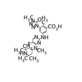 Cc1c(C(=O)O)cc(Nc2ncc(F)c(N(C)C3CC(C)(C)NC(C)(C)C3)n2)cc1-n1nnn(C)c1=O